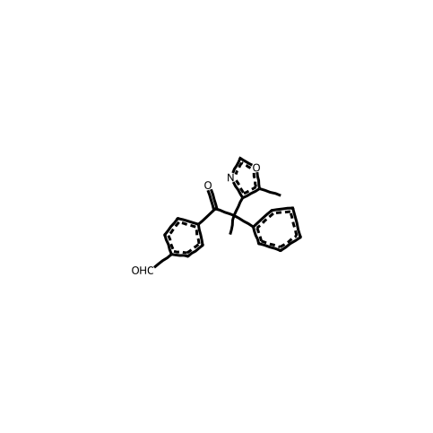 Cc1ocnc1C(C)(C(=O)c1ccc(C=O)cc1)c1ccccc1